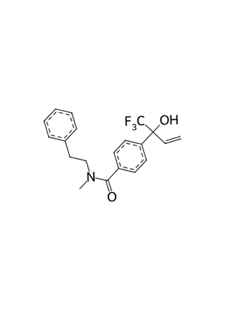 C=CC(O)(c1ccc(C(=O)N(C)CCc2ccccc2)cc1)C(F)(F)F